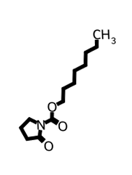 CCCCCCCCOC(=O)N1CCCC1=O